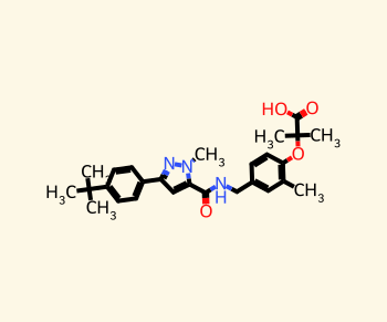 Cc1cc(CNC(=O)c2cc(-c3ccc(C(C)(C)C)cc3)nn2C)ccc1OC(C)(C)C(=O)O